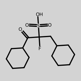 O=C(C1CCCCC1)C(F)(CC1CCCCC1)S(=O)(=O)O